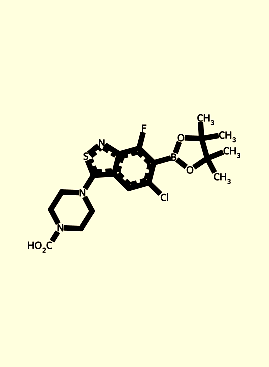 CC1(C)OB(c2c(Cl)cc3c(N4CCN(C(=O)O)CC4)snc3c2F)OC1(C)C